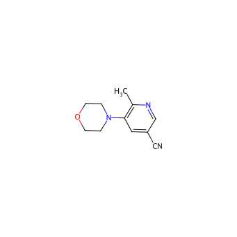 Cc1ncc(C#N)cc1N1CCOCC1